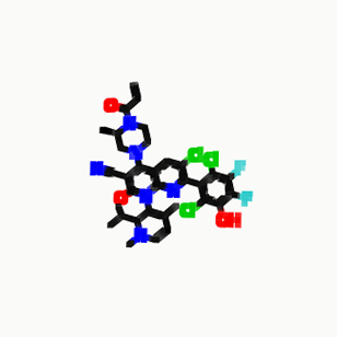 C=CC(=O)N1CCN(c2c(C#N)c(=O)n(C3=C(C)C=CN(C)C3C(C)C)c3nc(-c4c(Cl)c(O)c(F)c(F)c4Cl)c(Cl)cc23)C[C@H]1C